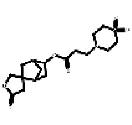 O=C1CC2(CO1)CC1CC2CC1OC(=O)CCN1CCS(=O)(=O)CC1